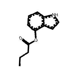 CCCC(=O)Oc1cccc2[nH]ccc12